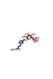 CNC(=O)CCn1cc(COC2OC(CCP(=O)(O)O)C(O)C(O)C2O)nn1